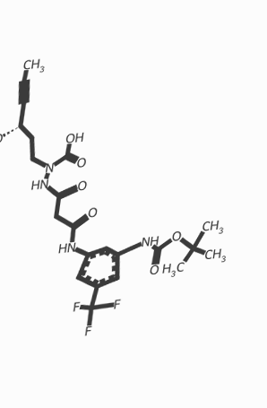 CC#C[C@@H](O)CCN(NC(=O)CC(=O)Nc1cc(NC(=O)OC(C)(C)C)cc(C(F)(F)F)c1)C(=O)O